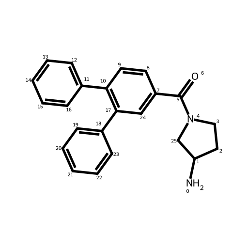 NC1CCN(C(=O)c2ccc(-c3ccccc3)c(-c3ccccc3)c2)C1